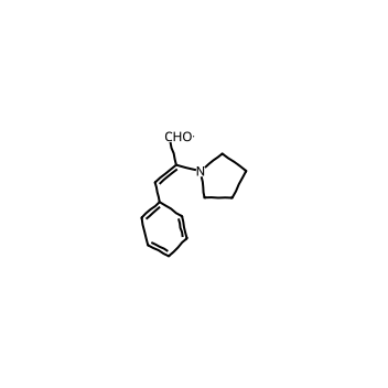 O=[C]C(=Cc1ccccc1)N1CCCC1